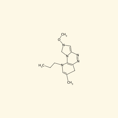 CCCN1C=C(C)CC2=C1N1CN(OC)C=C1N=N2